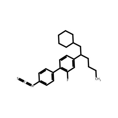 CCCCC(CC1CCCCC1)c1ccc(-c2ccc(N=C=S)cc2)c(F)c1